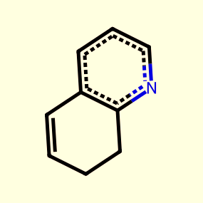 C1=Cc2cccnc2CC1